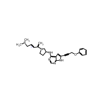 C=C(/C=C/CN(C)C)N1CCC(Nc2ncnc3[nH]c(C#CCOc4ccccc4)cc23)C1